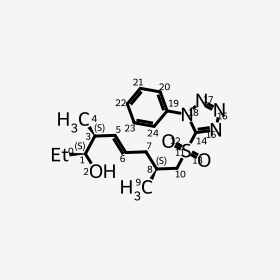 CC[C@H](O)[C@@H](C)C=CC[C@H](C)CS(=O)(=O)c1nnnn1-c1ccccc1